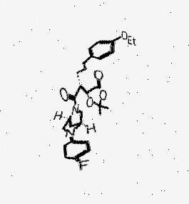 CCOc1ccc(CCC[C@@H](C(=O)N2C[C@@H]3C[C@H]2CN3c2ccc(F)cc2)[C@@H]2OC(C)(C)OC2=O)cc1